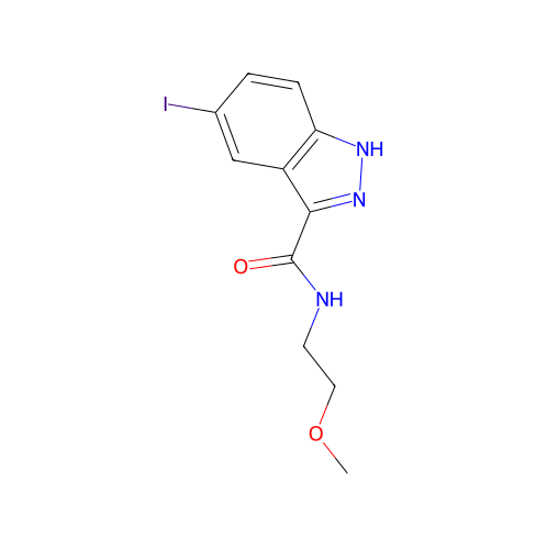 COCCNC(=O)c1n[nH]c2ccc(I)cc12